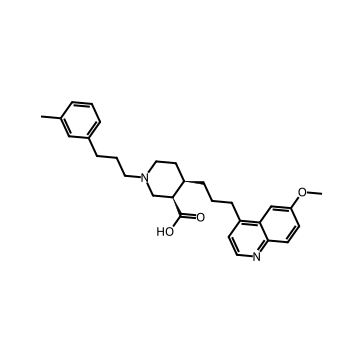 COc1ccc2nccc(CCC[C@@H]3CCN(CCCc4cccc(C)c4)C[C@@H]3C(=O)O)c2c1